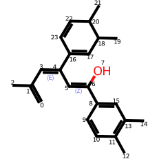 C=C(C)/C=C(\C=C(/O)c1ccc(C)c(C)c1)C1=CC(C)C(C)C=C1